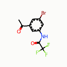 CC(=O)c1cc(Br)cc(NC(=O)C(F)(F)F)c1